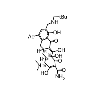 CC(=O)c1cc(CNCC(C)(C)C)c(O)c2c1C[C@H]1C[C@@H]3[C@@H](N(C)C)C(O)=C(C(N)=O)C(=O)[C@@]3(O)C(O)=C1C2=O